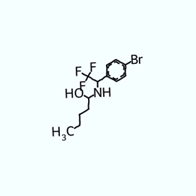 CCCCC(O)NC(c1ccc(Br)cc1)C(F)(F)F